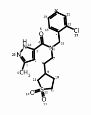 Cc1cc(C(=O)N(CCC2CCS(=O)(=O)C2)Cc2ccccc2Cl)[nH]n1